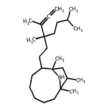 C=C=C(C)C(C)(CCC(C)C)CCC1CCCCCC2(C)BC1(C)CC2C